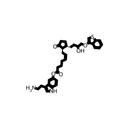 NCCc1c[nH]c2ccc(OC(=O)CCC/C=C\C[C@H]3C(=O)CC[C@@H]3CCC(O)COC3=CSC4C=CC=CC34)cc12